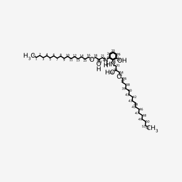 CCCCCCCCCCCCCCCCCOCC(O)CNc1cccc(O)c1NCC(O)COCCCCCCCCCCCCCCCCC